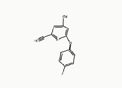 C#Cc1cc(C)cc(Oc2ccc(F)cc2)n1